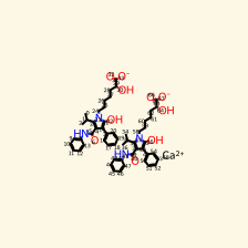 CC(C)c1c(C(=O)Nc2ccccc2)c(-c2ccccc2)c(O)n1CCCCCC(O)C(=O)[O-].CC(C)c1c(C(=O)Nc2ccccc2)c(-c2ccccc2)c(O)n1CCCCCC(O)C(=O)[O-].[Ca+2]